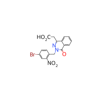 O=C(O)Cc1nn(Cc2ccc(Br)cc2[N+](=O)[O-])c(=O)c2ccccc12